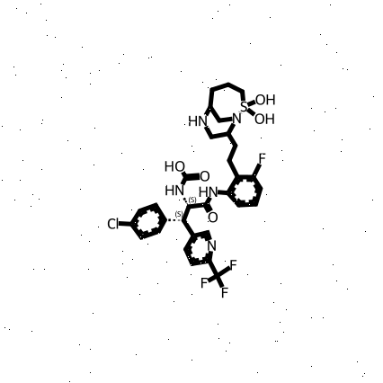 O=C(O)N[C@H](C(=O)Nc1cccc(F)c1CCC1CNC2CCCS(O)(O)N1C2)[C@@H](c1ccc(Cl)cc1)c1ccc(C(F)(F)F)nc1